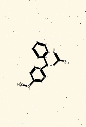 COc1ccc([C@@H](CC(C)=O)c2ccccc2)cc1